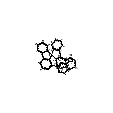 Clc1cccc(-c2cccc3c2C2(c4ccccc4-3)c3ccccc3-c3c2ccc2ccccc32)c1